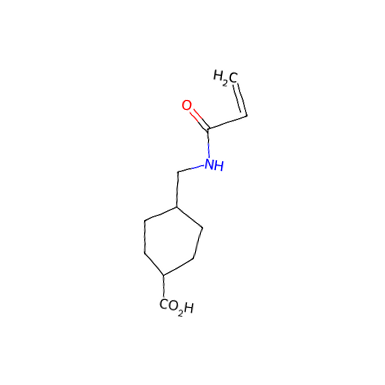 C=CC(=O)NCC1CCC(C(=O)O)CC1